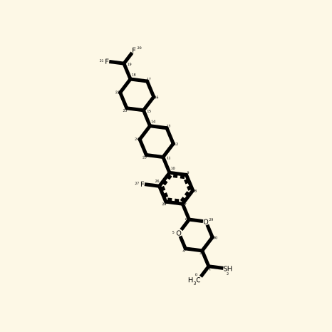 CC(S)C1COC(c2ccc(C3CCC(C4CCC(C(F)F)CC4)CC3)c(F)c2)OC1